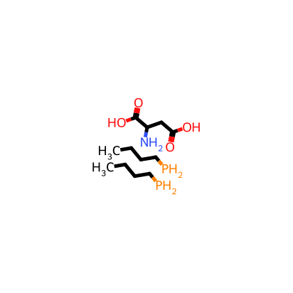 CCCCP.CCCCP.NC(CC(=O)O)C(=O)O